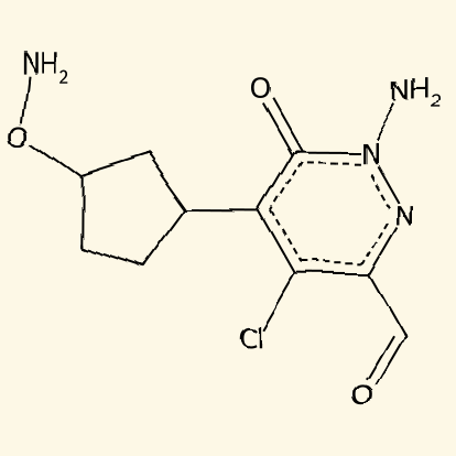 NOC1CCC(c2c(Cl)c(C=O)nn(N)c2=O)C1